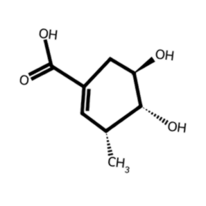 C[C@@H]1C=C(C(=O)O)C[C@@H](O)[C@@H]1O